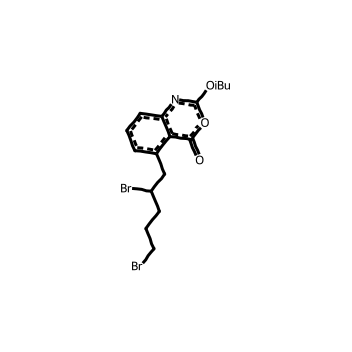 CC(C)COc1nc2cccc(CC(Br)CCCBr)c2c(=O)o1